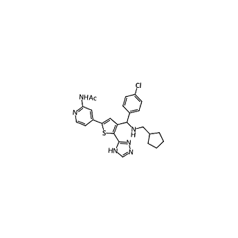 CC(=O)Nc1cc(-c2cc(C(NCC3CCCC3)c3ccc(Cl)cc3)c(-c3nnc[nH]3)s2)ccn1